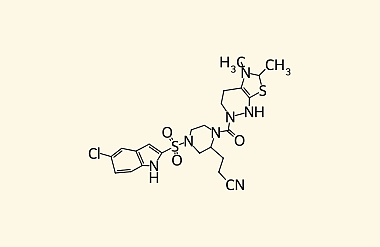 CC1SC2=C(CCN(C(=O)N3CCN(S(=O)(=O)c4cc5cc(Cl)ccc5[nH]4)CC3CCC#N)N2)N1C